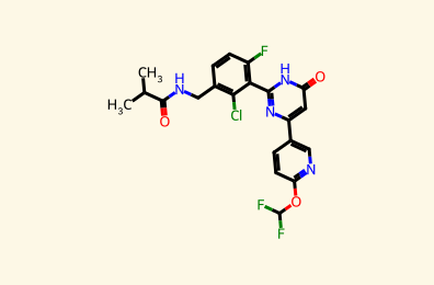 CC(C)C(=O)NCc1ccc(F)c(-c2nc(-c3ccc(OC(F)F)nc3)cc(=O)[nH]2)c1Cl